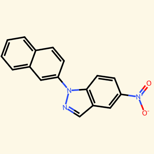 O=[N+]([O-])c1ccc2c(cnn2-c2ccc3ccccc3c2)c1